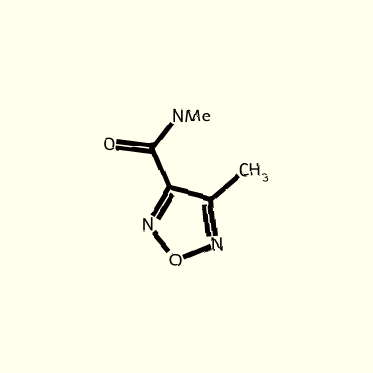 CNC(=O)c1nonc1C